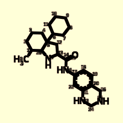 CC1CCCC2(C3CCCCC3)CC(C(=O)Nc3ccc4c(c3)NCNC4)NC12